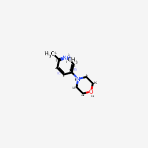 C/C=C(\C=C/C(C)=N)N1CCOCC1